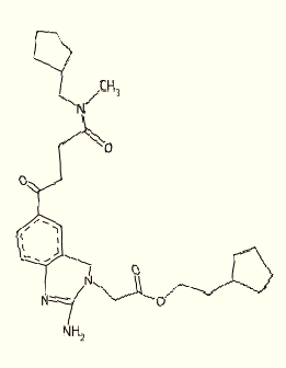 CN(CC1CCCC1)C(=O)CCC(=O)c1ccc2c(c1)CN(CC(=O)OCCC1CCCC1)C(N)=N2